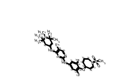 CN1C(C)(C)CC(Nc2nc(Nc3cc(F)c(OC4CCCN(S(C)(=O)=O)CC4)c(F)c3)ncc2F)CC1(C)C